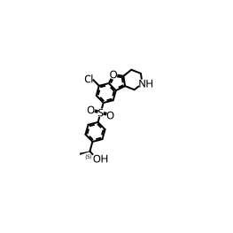 C[C@H](O)c1ccc(S(=O)(=O)c2cc(Cl)c3oc4c(c3c2)CNCC4)cc1